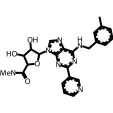 CNC(=O)C1OC(n2cnc3c(NCc4cccc(C)c4)nc(-c4cccnc4)nc32)C(O)C1O